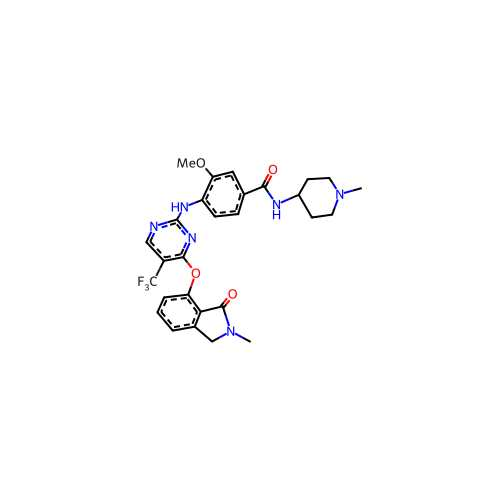 COc1cc(C(=O)NC2CCN(C)CC2)ccc1Nc1ncc(C(F)(F)F)c(Oc2cccc3c2C(=O)N(C)C3)n1